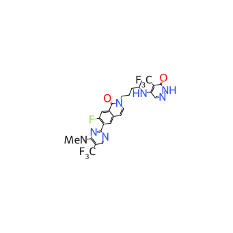 CNc1nc(-c2cc3ccn(CCCC(C)Nc4cn[nH]c(=O)c4C(F)(F)F)c(=O)c3cc2F)ncc1C(F)(F)F